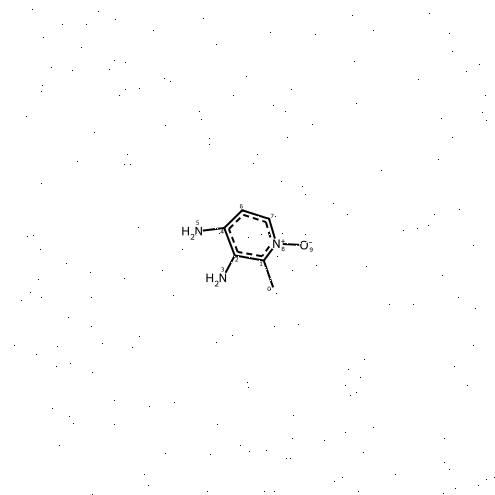 Cc1c(N)c(N)cc[n+]1[O-]